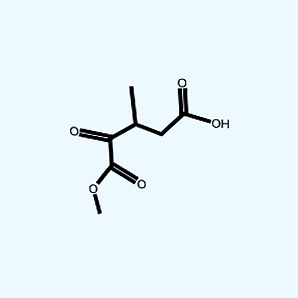 COC(=O)C(=O)C(C)CC(=O)O